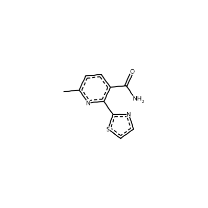 Cc1ccc(C(N)=O)c(-c2nccs2)n1